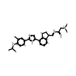 Cc1cc(-c2ncc(-c3cccc4c3CCC4/C=N/C(=O)CN(C)C)s2)ccc1OC(C)C